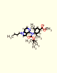 CCCCn1ccc2c(N(C(=O)OC(C)(C)C)c3c(C)cc(C(=O)OC)cc3C)nccc21